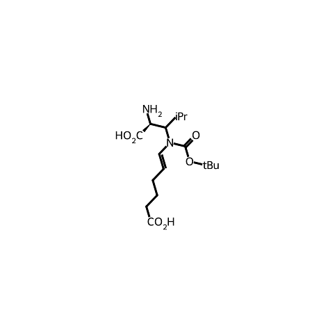 CC(C)C([C@H](N)C(=O)O)N(C=CCCCC(=O)O)C(=O)OC(C)(C)C